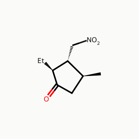 CC[C@@H]1C(=O)C[C@H](C)[C@H]1C[N+](=O)[O-]